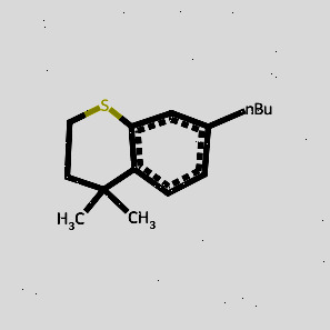 CCCCc1ccc2c(c1)SCCC2(C)C